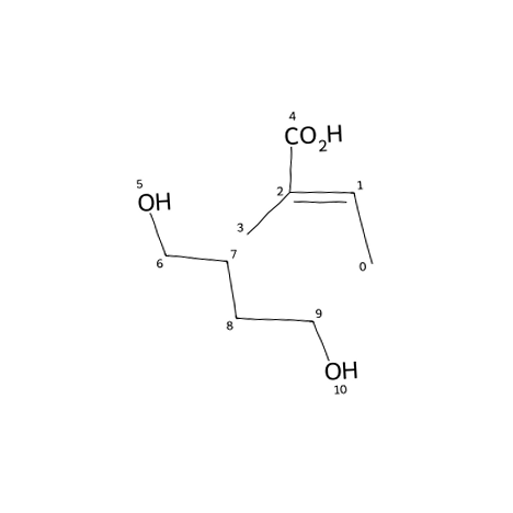 CC=C(C)C(=O)O.OCCCCO